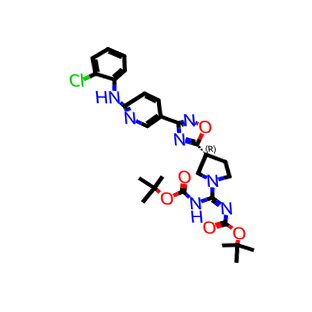 CC(C)(C)OC(=O)N=C(NC(=O)OC(C)(C)C)N1CC[C@@H](c2nc(-c3ccc(Nc4ccccc4Cl)nc3)no2)C1